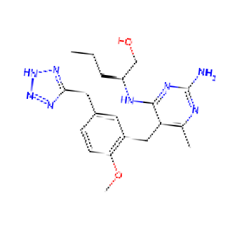 CCC[C@@H](CO)Nc1nc(N)nc(C)c1Cc1cc(Cc2nn[nH]n2)ccc1OC